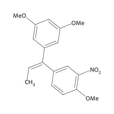 CC=C(c1cc(OC)cc(OC)c1)c1ccc(OC)c([N+](=O)[O-])c1